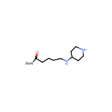 CNC(=O)CCCCNC1CCNCC1